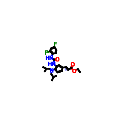 CCOC(=O)/C=C/c1ccc(N(CC(C)C)CC(C)C)c(NC(=O)Nc2ccc(F)cc2F)c1